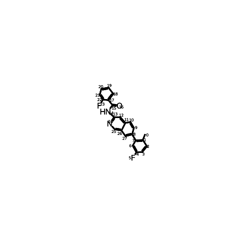 Cc1ccc(F)cc1-c1ccc2cc(NC(=O)c3ccccc3F)ncc2c1